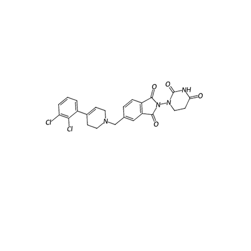 O=C1CCN(N2C(=O)c3ccc(CN4CC=C(c5cccc(Cl)c5Cl)CC4)cc3C2=O)C(=O)N1